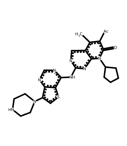 CC(=O)c1c(C)c2cnc(Nc3ncnc4c(N5CCNCC5)csc34)nc2n(C2CCCC2)c1=O